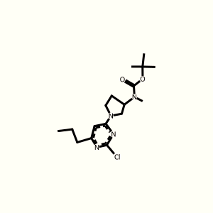 CCCc1cc(N2CCC(N(C)C(=O)OC(C)(C)C)C2)nc(Cl)n1